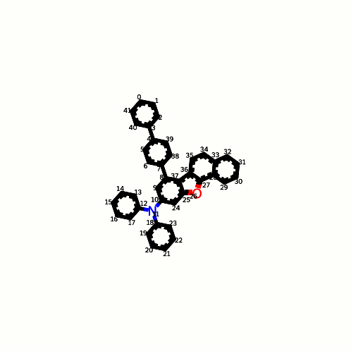 c1ccc(-c2ccc(-c3cc(N(c4ccccc4)c4ccccc4)cc4oc5c6ccccc6ccc5c34)cc2)cc1